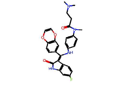 CN(C)CCC(=O)N(C)c1ccc(NC(=C2C(=O)Nc3cc(F)ccc32)c2ccc3c(c2)OC=CO3)cc1